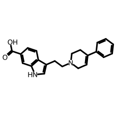 O=C(O)c1ccc2c(CCN3CC=C(c4ccccc4)CC3)c[nH]c2c1